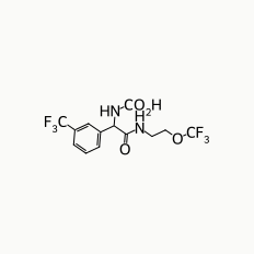 O=C(O)NC(C(=O)NCCOC(F)(F)F)c1cccc(C(F)(F)F)c1